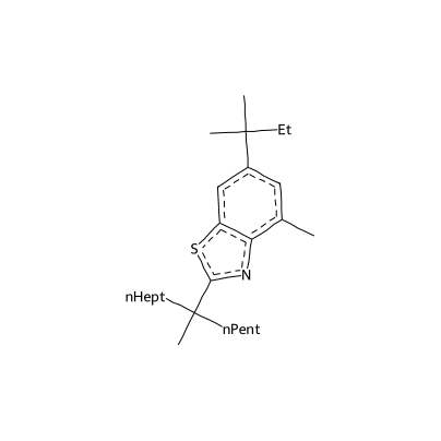 CCCCCCCC(C)(CCCCC)c1nc2c(C)cc(C(C)(C)CC)cc2s1